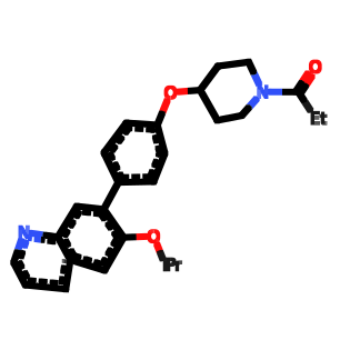 CCC(=O)N1CCC(Oc2ccc(-c3cc4ncccc4cc3OC(C)C)cc2)CC1